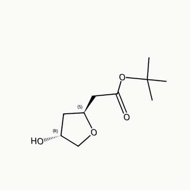 CC(C)(C)OC(=O)C[C@@H]1C[C@@H](O)CO1